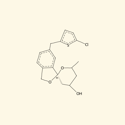 CC1CC(O)C[C@@]2(OCc3ccc(Cc4ccc(Cl)s4)cc32)O1